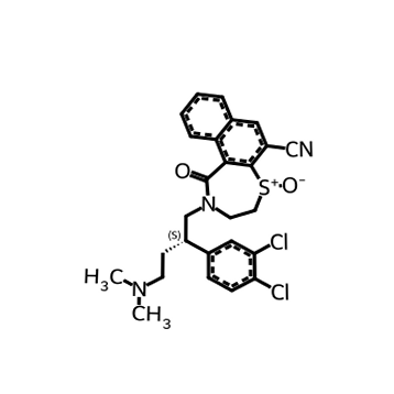 CN(C)CC[C@H](CN1CC[S+]([O-])c2c(C#N)cc3ccccc3c2C1=O)c1ccc(Cl)c(Cl)c1